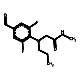 CCCN(CC(=O)NC)c1c(F)cc(C=O)cc1F